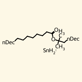 CCCCCCCCCCCCCCCCCC(=O)OC(C)(C)CCCCCCCCCCC.[SnH2]